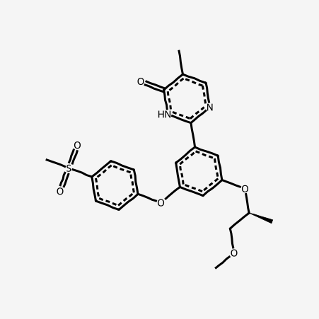 COC[C@H](C)Oc1cc(Oc2ccc(S(C)(=O)=O)cc2)cc(-c2ncc(C)c(=O)[nH]2)c1